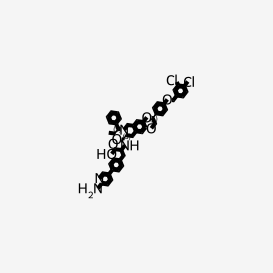 CC[C@@H](c1ccccc1)N1Cc2cc3c(cc2C[C@H]1C(=O)NC(Cc1ccc(-c2ccc(N)nc2)cc1)C(=O)O)OC[C@H](c1ccc(OCc2ccc(Cl)c(Cl)c2)cc1)O3